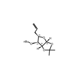 C=CC[C@H]1O[C@@H]2OC(C)(C)O[C@@H]2[C@H]1OCCCC